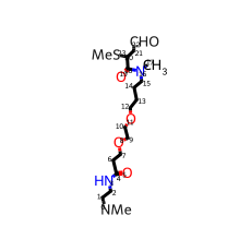 CNCCNC(=O)CCOCCOCCCCN(C)C(=O)C(CC=O)SC